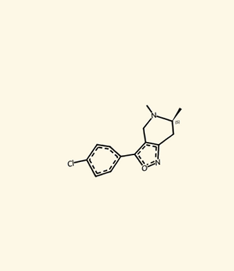 C[C@H]1Cc2noc(-c3ccc(Cl)cc3)c2CN1C